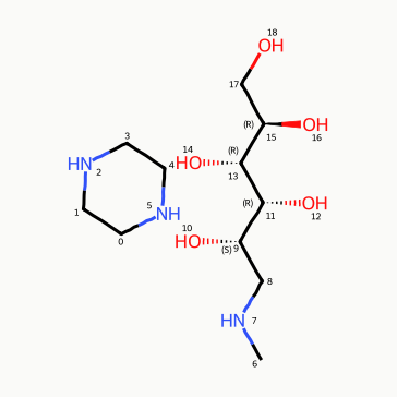 C1CNCCN1.CNC[C@H](O)[C@@H](O)[C@H](O)[C@H](O)CO